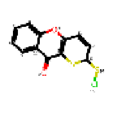 O=c1c2c(oc3ccccc13)C=CC(SCl)S2